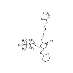 COC(=O)CCCCCCC1[C@@H](CO[Si](C)(C)C(C)(C)C)[C@H](OC2CCCCO2)C[C@@H]1O